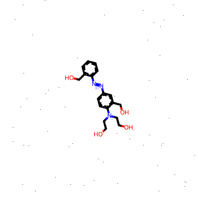 OCCN(CCO)c1ccc(/N=N/c2ccccc2CO)cc1CO